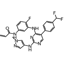 C=CC(=O)Nc1ccc(F)c(Nc2nc(Nc3cnn(C)c3)ncc2-c2ccc(C(F)F)cc2)c1